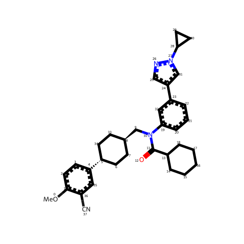 COc1ccc([C@H]2CC[C@H](CN(C(=O)C3CCCCC3)c3cccc(-c4cnn(C5CC5)c4)c3)CC2)cc1C#N